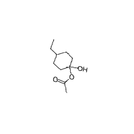 CCC1CCC(O)(OC(C)=O)CC1